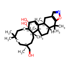 CC1(C)CC[C@](C)(CO)CC[C@]2(C)[C@@](O)(CC1)[C@H](O)C=C1[C@@]3(C)Cc4cnoc4C(C)(C)[C@@H]3CC[C@]12C